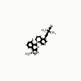 Cn1nnc2nc(N3CCCc4c(C#CC(C)(C)C#N)cncc43)c3c(F)cccc3c21